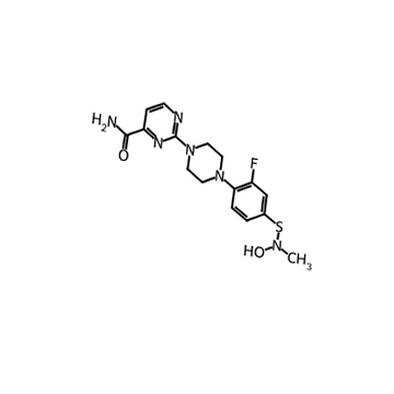 CN(O)Sc1ccc(N2CCN(c3nccc(C(N)=O)n3)CC2)c(F)c1